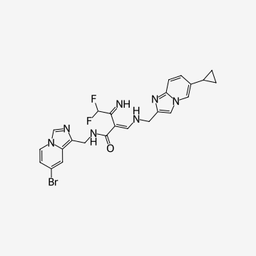 N=C(/C(=C\NCc1cn2cc(C3CC3)ccc2n1)C(=O)NCc1ncn2ccc(Br)cc12)C(F)F